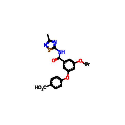 Cc1nsc(NC(=O)c2cc(Oc3ccc(C(=O)O)cc3)cc(OC(C)C)c2)n1